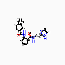 Cc1ccc(C(=O)Nc2ccccc2C(=O)NCCc2ncc[nH]2)cc1